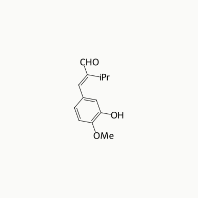 COc1ccc(/C=C(/C=O)C(C)C)cc1O